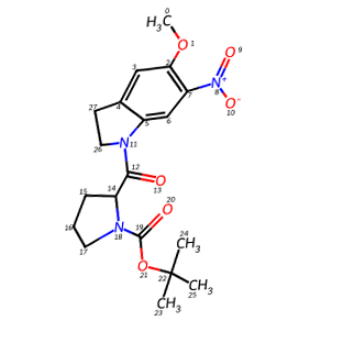 COc1cc2c(cc1[N+](=O)[O-])N(C(=O)C1CCCN1C(=O)OC(C)(C)C)CC2